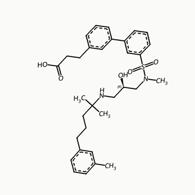 Cc1cccc(CCCC(C)(C)NC[C@@H](O)CN(C)S(=O)(=O)c2cccc(-c3cccc(CCC(=O)O)c3)c2)c1